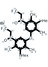 Br.CCCCCCc1c(C)c(Oc2cc([S+]([O-])CC(F)(F)F)c(C)c(CCCCCC)c2C)cc([S+]([O-])CC(F)(F)F)c1C